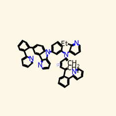 C=C(/C=C\C(=C)N(c1cccc(-n2c3ccc(-c4ccccc4-c4ccccn4)cc3c3ncccc32)c1)c1cccnc1CC)c1ccccc1-c1ccccn1